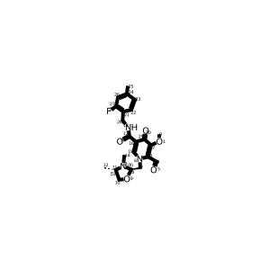 COc1c(C=O)n(C[C@H]2OC[C@H](C)N2C)cc(C(=O)NCc2ccc(C)cc2F)c1=O